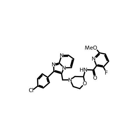 COc1ccc(F)c(C(=O)NC2CN(Cc3c(-c4ccc(Cl)cc4)nc4ncccn34)CCO2)n1